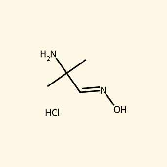 CC(C)(N)C=NO.Cl